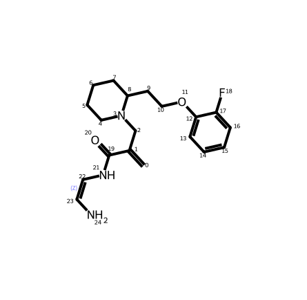 C=C(CN1CCCCC1CCOc1ccccc1F)C(=O)N/C=C\N